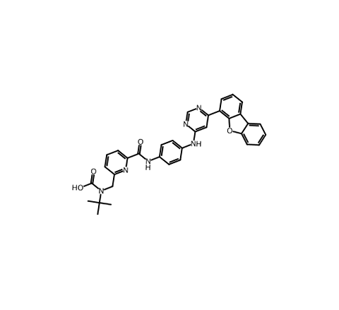 CC(C)(C)N(Cc1cccc(C(=O)Nc2ccc(Nc3cc(-c4cccc5c4oc4ccccc45)ncn3)cc2)n1)C(=O)O